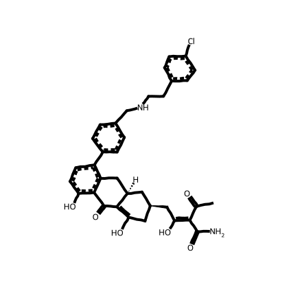 CC(=O)/C(C(N)=O)=C(/O)C[C@H]1CC(O)=C2C(=O)c3c(O)ccc(-c4ccc(CNCCc5ccc(Cl)cc5)cc4)c3C[C@H]2C1